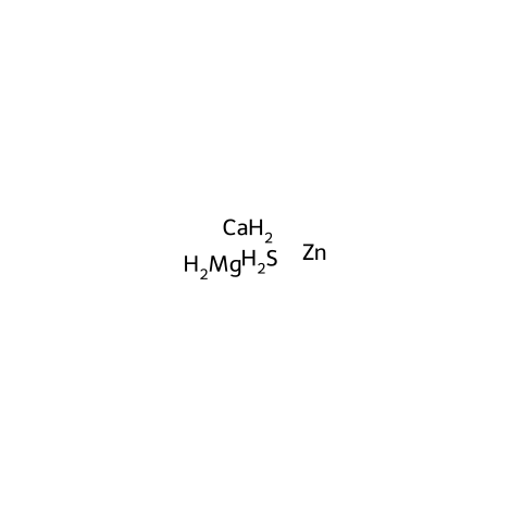 S.[CaH2].[MgH2].[Zn]